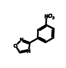 O=[N+]([O-])c1cccc(-c2ncon2)c1